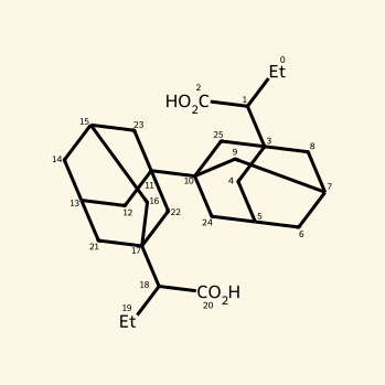 CCC(C(=O)O)C12CC3CC(C1)CC(C14CC5CC(CC(C(CC)C(=O)O)(C5)C1)C4)(C3)C2